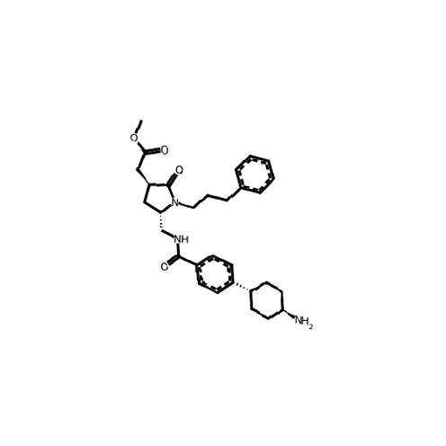 COC(=O)C[C@@H]1C[C@@H](CNC(=O)c2ccc([C@H]3CC[C@H](N)CC3)cc2)N(CCCc2ccccc2)C1=O